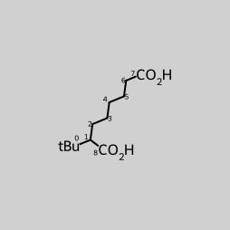 CC(C)(C)C(CCCCCC(=O)O)C(=O)O